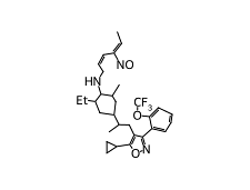 C/C=C(\C=C/CNC1C(C)CC(C(C)Cc2c(-c3ccccc3OC(F)(F)F)noc2C2CC2)CC1CC)N=O